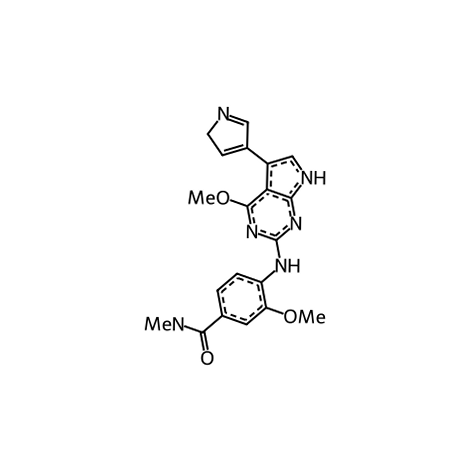 CNC(=O)c1ccc(Nc2nc(OC)c3c(C4=CCN=C4)c[nH]c3n2)c(OC)c1